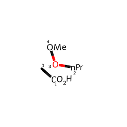 CC(=O)O.CCCOOC